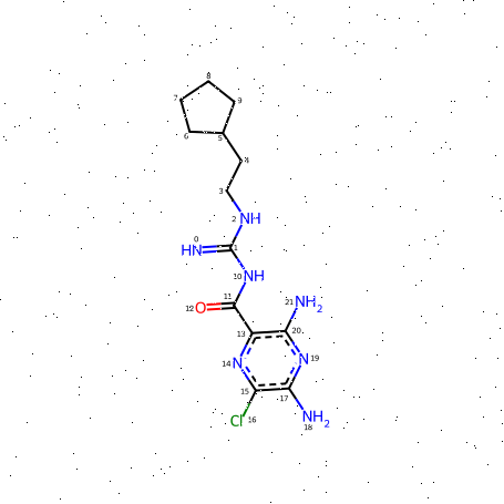 N=C(NCCC1CCCC1)NC(=O)c1nc(Cl)c(N)nc1N